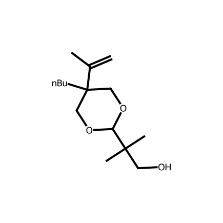 C=C(C)C1(CCCC)COC(C(C)(C)CO)OC1